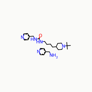 CC(C)(C)N1CCC(CCCCNC(=O)NCc2ccncc2)CC1.NCc1ccncc1